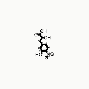 O=C(O)C(O)Cc1ccc([N+](=O)[O-])c(O)c1